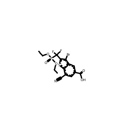 CCOP(=O)(OCC)C(F)(F)c1sc2c(C#N)cc(C(=O)O)cc2c1Br